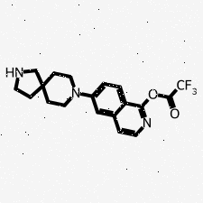 O=C(Oc1nccc2cc(N3CCC4(CCNC4)CC3)ccc12)C(F)(F)F